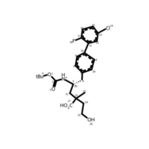 CC(C)(C)OC(=O)N[C@H](Cc1ccc(-c2cc(Cl)ccc2F)cc1)CC(C)(CCO)C(=O)O